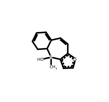 CS1(O)c2ccsc2C=CC2=CC=CCC21